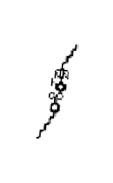 CCCCCCCCc1ccc(C(=O)Oc2ccc(-c3ncc(CCCCCCC)cn3)c(F)c2)cc1